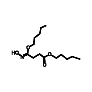 CCCCCOC(=O)CC/C(=N/O)OCCCCC